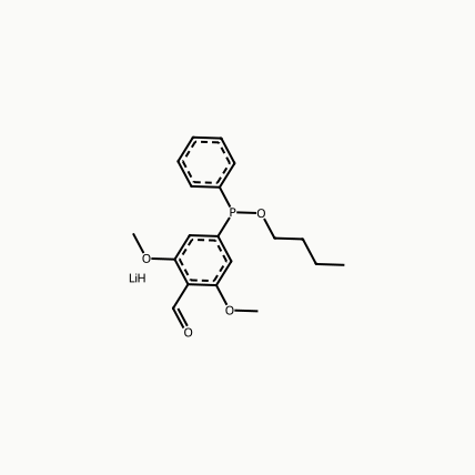 CCCCOP(c1ccccc1)c1cc(OC)c(C=O)c(OC)c1.[LiH]